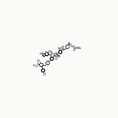 CC1(C)CCC(CN2CCN(c3ccc(C(=O)NS(=O)(=O)c4ccc(NCC5CCP(=O)(OCOC(=O)C(C)(C)C)CC5)c([N+](=O)[O-])c4)c(N4CCOc5nc6[nH]ccc6cc54)c3)CC2)=C(c2ccc(Cl)cc2)C1